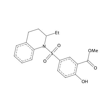 CCC1CCc2ccccc2N1S(=O)(=O)c1ccc(O)c(C(=O)OC)c1